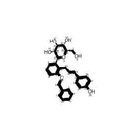 OC[C@H]1O[C@@H](c2cccc(OCc3ccccc3)c2C/C=C/c2ccc(O)cc2)[C@H](O)[C@@H](O)[C@@H]1O